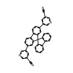 N#Cc1cncc(-c2ccc3c(c2)C2(c4ccccc4-c4ccccc42)c2cc(-c4cncc(C#N)c4)ccc2-3)c1